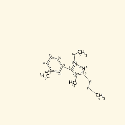 CCCc1nn(CC)c(-c2cccc(C)c2)c1O